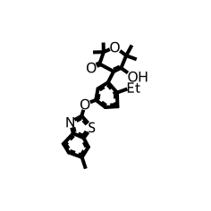 CCc1ccc(Oc2nc3ccc(C)cc3s2)cc1C1=C(O)C(C)(C)OC(C)(C)C1=O